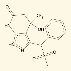 CS(=O)(=O)C(c1ccccc1)c1n[nH]c2c1C(O)(C(F)(F)F)CC(=O)N2